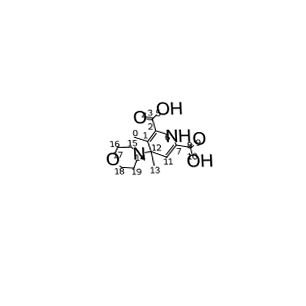 CC1=C(C(=O)O)NC(C(=O)O)=CC1(C)N1CCOCC1